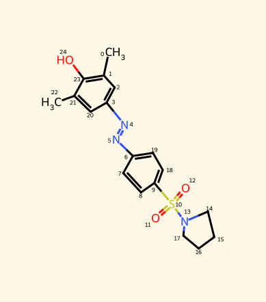 Cc1cc(N=Nc2ccc(S(=O)(=O)N3CCCC3)cc2)cc(C)c1O